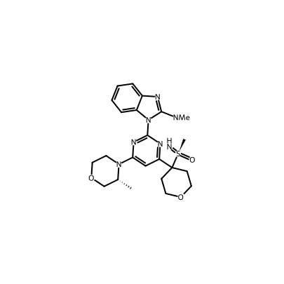 CNc1nc2ccccc2n1-c1nc(N2CCOC[C@H]2C)cc(C2([S@](C)(=N)=O)CCOCC2)n1